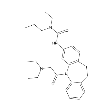 CCCN(CC)C(=O)Nc1ccc2c(c1)N(C(=O)CN(CC)CC)c1ccccc1CC2